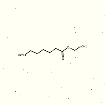 CCCCCCCCCOC(=O)CCCCCNC(C)=O